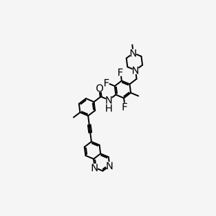 Cc1ccc(C(=O)Nc2c(F)c(C)c(CN3CCN(C)CC3)c(F)c2F)cc1C#Cc1ccc2ncncc2c1